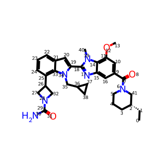 CC[C@@H]1CCCN(C(=O)c2cc(OC)c3c(c2)nc(-c2cc4cccc(C5CN(C(N)=O)C5)c4n2CC2CC2)n3C)C1